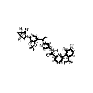 CC(c1cnc(N2C[C@H]3C[C@H]3C2=O)c2c1OC(F)(F)O2)n1cc(NC(=O)c2cncc(-c3c(C(F)F)ccc(Cl)c3F)n2)cn1